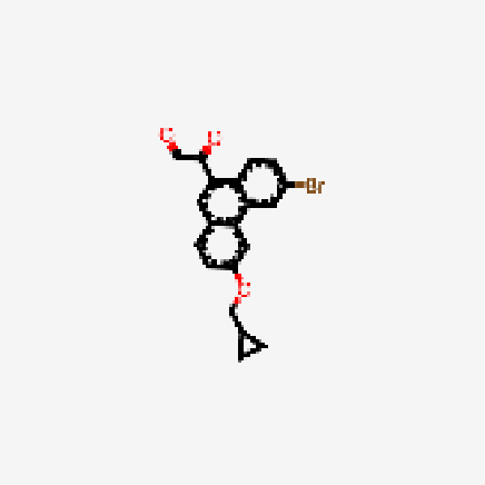 O=CC(=O)c1cc2ccc(OCC3CC3)cc2c2cc(Br)ccc12